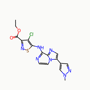 CCOC(=O)c1nsc(Nc2nccn3c(-c4cnn(C)c4)cnc23)c1Cl